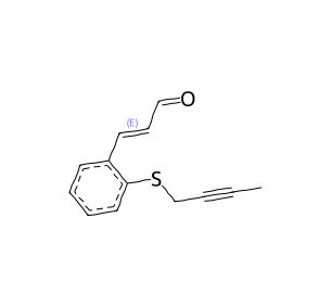 CC#CCSc1ccccc1/C=C/C=O